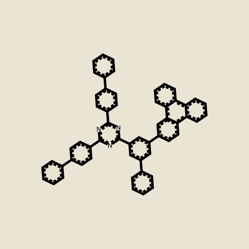 c1ccc(-c2ccc(-c3nc(-c4ccc(-c5ccccc5)cc4)nc(-c4cc(-c5ccccc5)cc(-c5ccc6c7ccccc7c7ccccc7c6c5)c4)n3)cc2)cc1